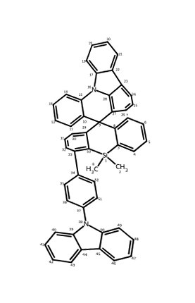 C[Si]1(C)c2ccccc2C2(c3ccccc3-n3c4ccccc4c4cccc2c43)c2cccc(-c3ccc(-n4c5ccccc5c5ccccc54)cc3)c21